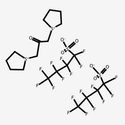 O=C(C[S+]1CCCC1)C[S+]1CCCC1.O=S(=O)([O-])C(F)(F)C(F)(F)C(F)(F)C(F)(F)F.O=S(=O)([O-])C(F)(F)C(F)(F)C(F)(F)C(F)(F)F